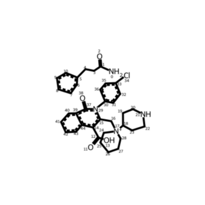 NC(=O)CCc1ccccc1.O=C(O)c1c(C[N+]2(C3CCNCC3)CCCCC2)n(-c2ccc(Cl)cc2)c(=O)c2ccccc12